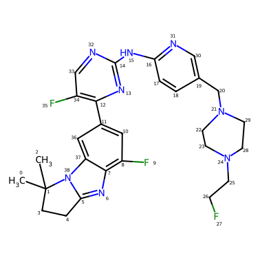 CC1(C)CCc2nc3c(F)cc(-c4nc(Nc5ccc(CN6CCN(CCF)CC6)cn5)ncc4F)cc3n21